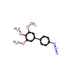 COc1cc(-c2ccc(N=[N+]=[N-])cc2)cc(OC)c1OC